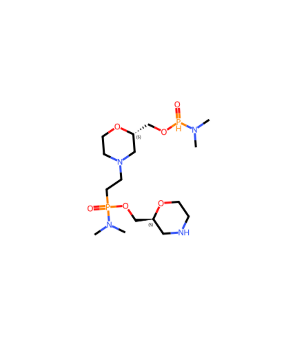 CN(C)[PH](=O)OC[C@@H]1CN(CCP(=O)(OC[C@@H]2CNCCO2)N(C)C)CCO1